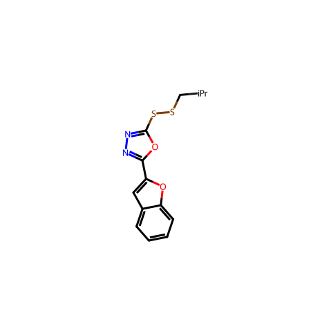 CC(C)CSSc1nnc(-c2cc3ccccc3o2)o1